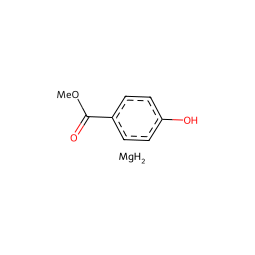 COC(=O)c1ccc(O)cc1.[MgH2]